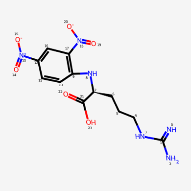 N=C(N)NCCC[C@H](Nc1ccc([N+](=O)[O-])cc1[N+](=O)[O-])C(=O)O